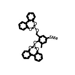 CSc1cc(C)c(Op2oc3ccccc3c3ccccc3o2)c(COp2oc3ccccc3c3ccccc3o2)c1